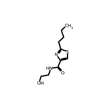 CCCCc1nc(C(=O)NCCO)cs1